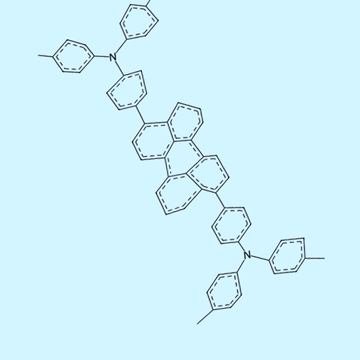 Cc1ccc(N(c2ccc(C)cc2)c2ccc(-c3ccc4c5cccc6c(-c7ccc(N(c8ccc(C)cc8)c8ccc(C)cc8)cc7)ccc(c7cccc3c74)c65)cc2)cc1